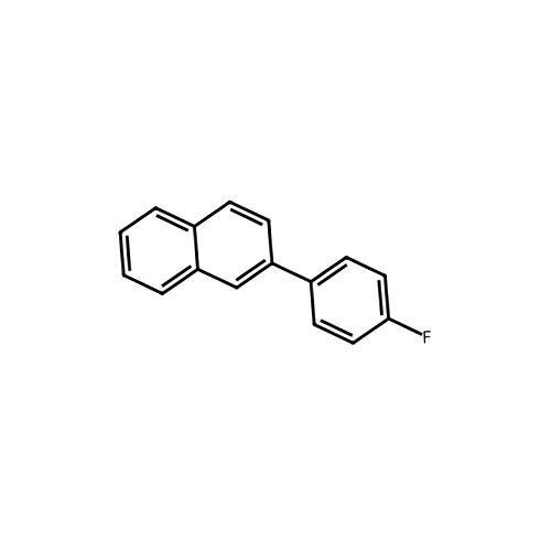 Fc1ccc(-c2ccc3ccccc3c2)cc1